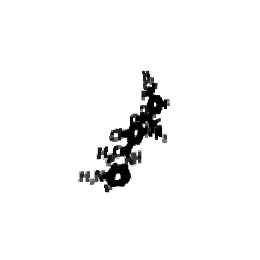 C=C(Nc1ccc(F)c(N)c1F)c1cc(NC(=C)C(c2cc(F)cc(C(C)(F)F)c2)C(C)(C)Cl)ccc1Cl